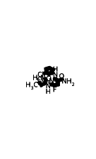 CC(C)CC(Nc1nc(Nc2cccc(Cl)c2)c(C(N)=O)cc1F)C(N)=O